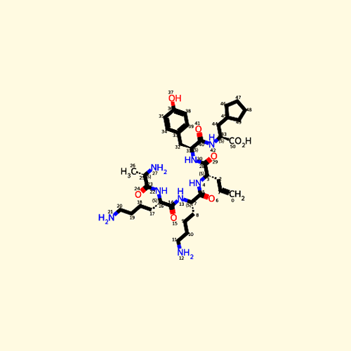 C=CC[C@H](NC(=O)[C@H](CCCCN)NC(=O)[C@H](CCCCN)NC(=O)[C@H](C)N)C(=O)N[C@@H](Cc1ccc(O)cc1)C(=O)N[C@@H](CC1CCCC1)C(=O)O